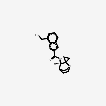 O=C(N[C@H]1C2CCN(CC2)C12CC2)c1cc2cccc(CC(F)(F)F)c2s1